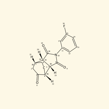 O=C1C[C@H]2CC[C@@H]1[C@H]1C(=O)N(c3cccc(F)c3)C(=O)[C@@H]21